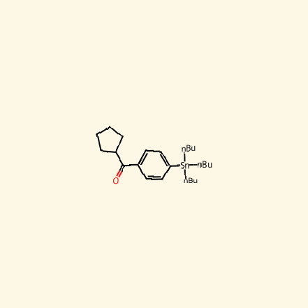 CCC[CH2][Sn]([CH2]CCC)([CH2]CCC)[c]1ccc(C(=O)C2CCCC2)cc1